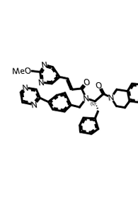 COc1ncc(C=CC(=O)N(Cc2ccc(-c3cnccn3)cc2)[C@@H](Cc2ccccc2)C(=O)N2CCc3ccccc3C2)cn1